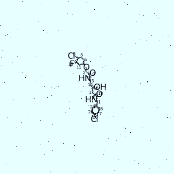 O=C(COc1ccc(Cl)c(F)c1)NCCC(O)CC(=O)NCc1ccc(Cl)cc1